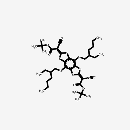 [C-]#[N+]C(C(=O)OC(C)(C)C)=C1Sc2c(OCC(CC)CCCC)c3c(c(OCC(CC)CCCC)c2S1)SC(=C(C#N)C(=O)OC(C)(C)C)S3